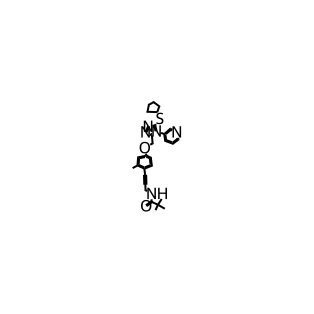 Cc1cc(OCc2nnc(SC3CCCC3)n2-c2cccnc2)ccc1C#CCNC(=O)C(C)(C)C